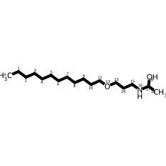 CCCCCCCCCCCCOCCCNC(C)O